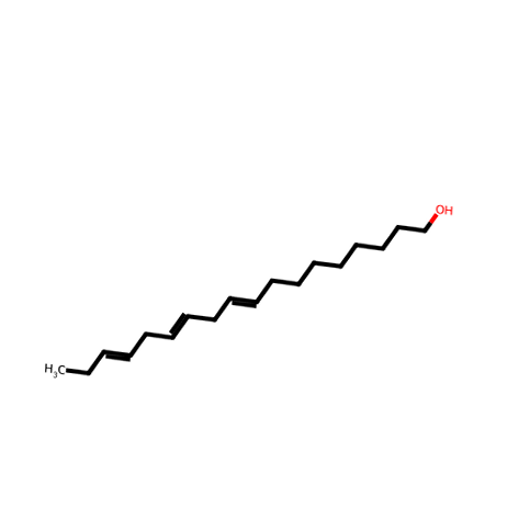 CC/C=C/C/C=C/C/C=C/CCCCCCCCO